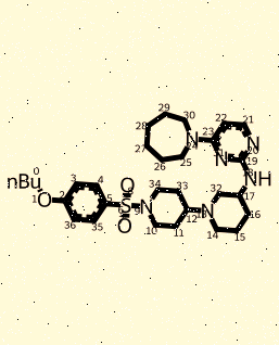 CCCCOc1ccc(S(=O)(=O)N2CCC(N3CCCC(Nc4nccc(N5CCCCCC5)n4)C3)CC2)cc1